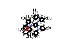 CC1(C)CC2(C)c3cc(C(C)(C)C)ccc3N(c3cc4c5c(c3)N(c3ccc(C(C)(C)C)cc3-c3ccccc3)c3cc6c(cc3B5c3cc(C(C)(C)C)ccc3N4c3ccc(C(C)(C)C)cc3)C(C)(C)CCC6(C)C)C2(C)C1